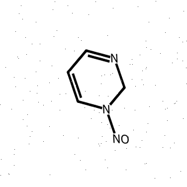 O=NN1C=CC=NC1